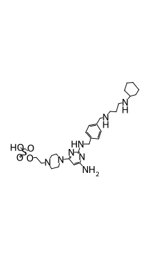 Nc1cc(N2CCN(CCOS(=O)(=O)O)CC2)nc(NCc2ccc(CNCCCNC3CCCCC3)cc2)n1